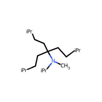 CC(C)CCC(CCC(C)C)(CCC(C)C)N(C)C(C)C